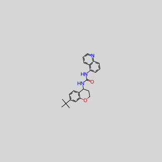 CC(C)(C)c1ccc2c(c1)OCCC2NC(=O)Nc1cccc2ncccc12